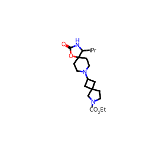 CCOC(=O)N1CCC2(CC(N3CCC4(CC3)OC(=O)NC4C(C)C)C2)C1